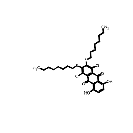 CCCCCCCCSc1c(Cl)c2c(c(Cl)c1SCCCCCCCC)C(=O)c1c(O)ccc(O)c1C2=O